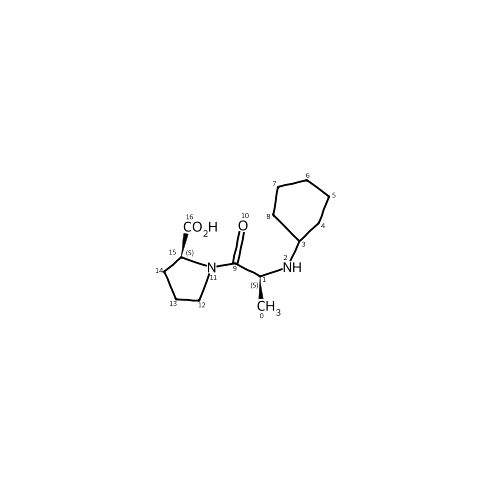 C[C@H](NC1CCCCC1)C(=O)N1CCC[C@H]1C(=O)O